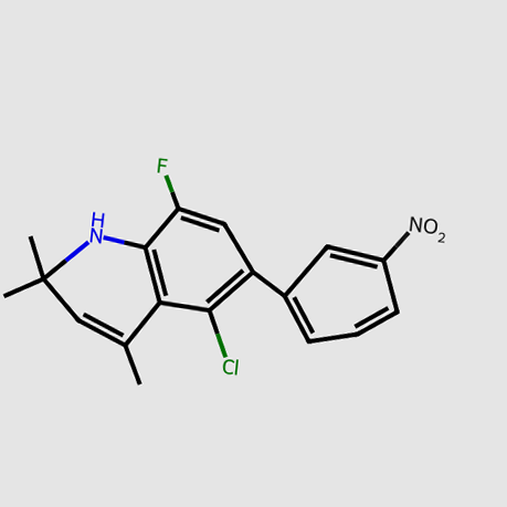 CC1=CC(C)(C)Nc2c(F)cc(-c3cccc([N+](=O)[O-])c3)c(Cl)c21